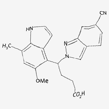 COc1cc(C)c2[nH]ccc2c1C(CCC(=O)O)n1cc2ccc(C#N)cc2n1